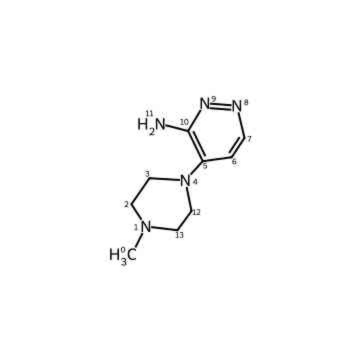 CN1CCN(c2ccnnc2N)CC1